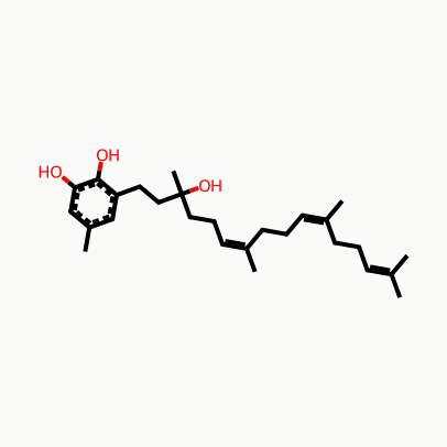 CC(C)=CCCC(C)=CCCC(C)=CCCC(C)(O)CCc1cc(C)cc(O)c1O